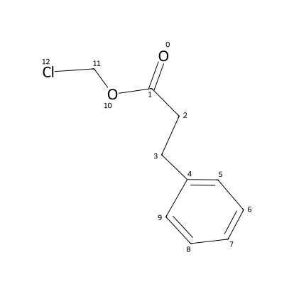 O=C(CCc1ccccc1)OCCl